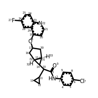 O=C(Nc1ccc(Cl)cc1)C(C1CC1)C1[C@H]2CC(Oc3ccnc4ccc(F)cc34)C[C@@H]12